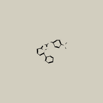 CN(C)c1ccc(Nc2nc3cccc(-c4ccccc4)n3n2)cc1